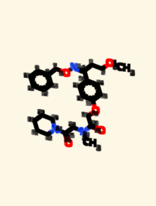 COCCC(=NOCc1ccccc1)c1ccc(OCC(=O)N(C)CC(=O)N2CCCCC2)cc1